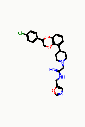 N=C(CN1CCC(c2cccc3c2OCC(c2ccc(Cl)cc2)O3)CC1)NCc1cnco1